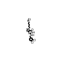 CCOCCCCCn1nnc2nc(NCc3ccc(Cl)c(Cl)c3)[nH]c(=O)c21